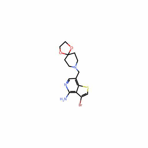 Nc1ncc(CN2CCC3(CC2)OCCO3)c2scc(Br)c12